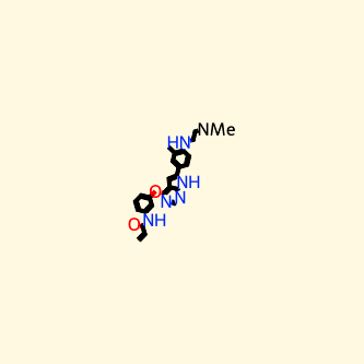 C=CC(=O)Nc1cccc(Oc2ncnc3[nH]c(-c4ccc(NCCNC)c(C)c4)cc23)c1